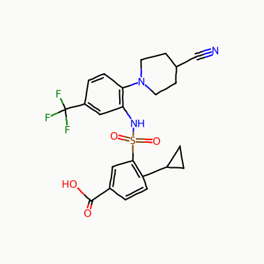 N#CC1CCN(c2ccc(C(F)(F)F)cc2NS(=O)(=O)c2cc(C(=O)O)ccc2C2CC2)CC1